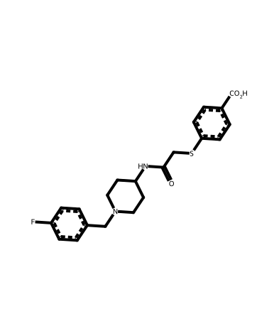 O=C(CSc1ccc(C(=O)O)cc1)NC1CCN(Cc2ccc(F)cc2)CC1